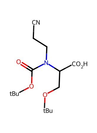 CC(C)(C)OCC(C(=O)O)N(CCC#N)C(=O)OC(C)(C)C